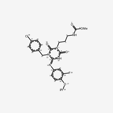 COC(=O)NCCCn1c(=O)[nH]/c(=N\c2ccc(OC(C)C)c(F)c2)n(Cc2ccc(Cl)cc2)c1=O